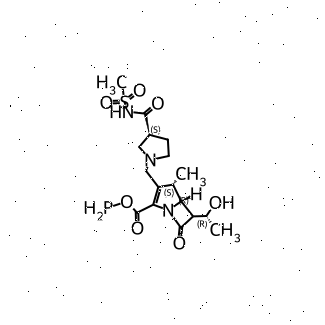 C[C@@H](O)C1C(=O)N2C(C(=O)OP)=C(CN3CC[C@H](C(=O)NS(C)(=O)=O)C3)[C@H](C)[C@H]12